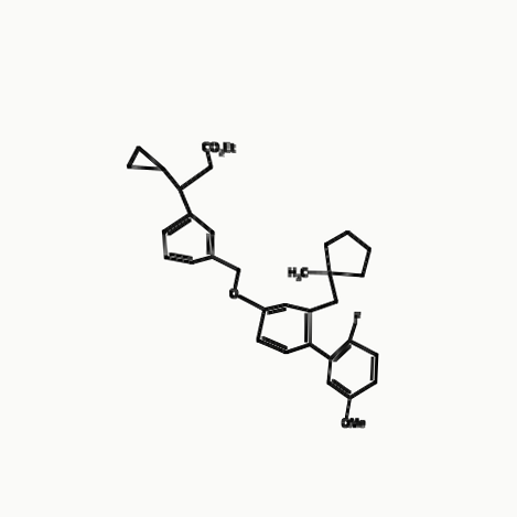 CCOC(=O)CC(c1cccc(COc2ccc(-c3cc(OC)ccc3F)c(CC3(C)CCCC3)c2)c1)C1CC1